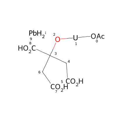 CC(=O)[O][U][O]C(CC(=O)O)(CC(=O)O)C(=O)O.[PbH2]